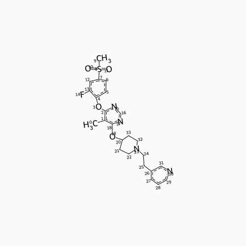 Cc1c(Oc2ccc(S(C)(=O)=O)cc2F)ncnc1OC1CCN(CCc2cccnc2)CC1